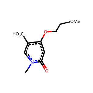 COCCOc1cc(=O)n(C)cc1C(=O)O